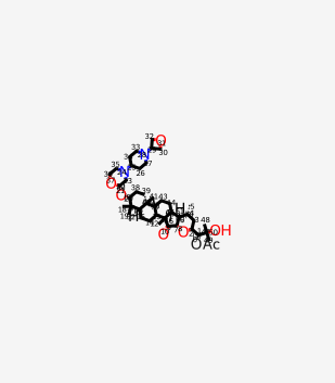 CC(=O)O[C@@H](C1C[C@@H](C)[C@H]2C(O1)C(=O)C1(C)C3CC[C@H]4C(C)(C)[C@@H](O[C@H]5CN(C6CCN(C7COC7)CC6)CCO5)CC[C@@]45C[C@@]35CC[C@]21C)C(C)(C)O